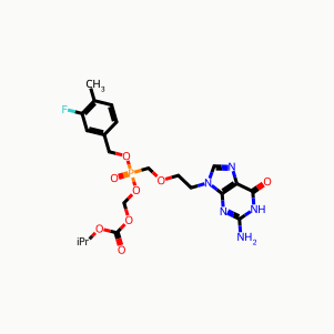 Cc1ccc(COP(=O)(COCCn2cnc3c(=O)[nH]c(N)nc32)OCOC(=O)OC(C)C)cc1F